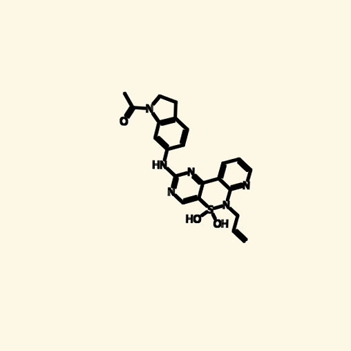 C=CCN1c2ncccc2-c2nc(Nc3ccc4c(c3)N(C(C)=O)CC4)ncc2S1(O)O